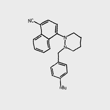 CCCCc1ccc(CN2CCCCN2c2ccc(C#N)c3ccccc23)cc1